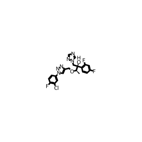 C[C@@H](OCc1cn(-c2ccc(F)c(Cl)c2)nn1)[C@](O)(Cn1cncn1)c1ccc(F)cc1F